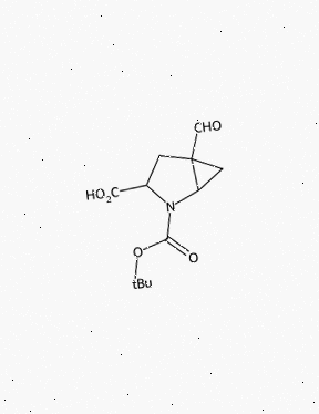 CC(C)(C)OC(=O)N1C(C(=O)O)CC2(C=O)CC12